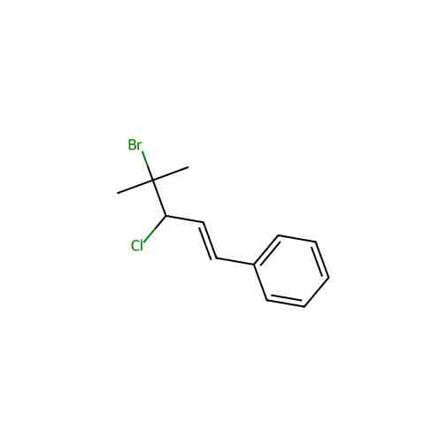 CC(C)(Br)C(Cl)C=Cc1ccccc1